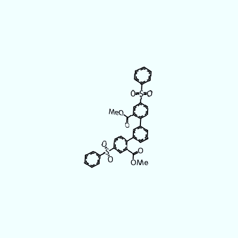 COC(=O)c1cc(S(=O)(=O)c2ccccc2)ccc1-c1cccc(-c2ccc(S(=O)(=O)c3ccccc3)cc2C(=O)OC)c1